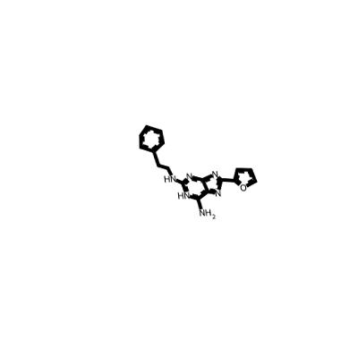 Nc1[nH]c(NCCc2ccccc2)nc2nc(-c3ccco3)nc1-2